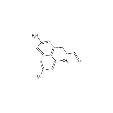 CC(=O)/C=C(/C)c1ccc(N)cc1CCC=O